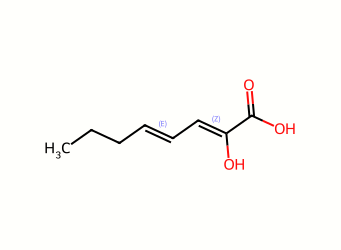 CCC/C=C/C=C(\O)C(=O)O